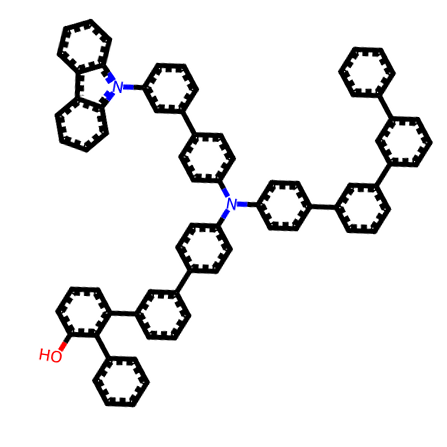 Oc1cccc(-c2cccc(-c3ccc(N(c4ccc(-c5cccc(-c6cccc(-c7ccccc7)c6)c5)cc4)c4ccc(-c5cccc(-n6c7ccccc7c7ccccc76)c5)cc4)cc3)c2)c1-c1ccccc1